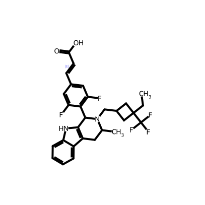 CCC1(C(F)(F)F)CC(CN2C(C)Cc3c([nH]c4ccccc34)C2c2c(F)cc(/C=C/C(=O)O)cc2F)C1